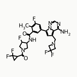 Cc1c(F)cc(-c2cc(CN3CC(F)(F)C3)c3c(N)ncnn23)cc1C(=O)NC1CN(C(=O)C2CC2(F)F)CC1F